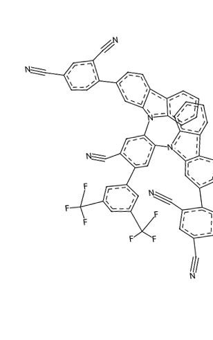 N#Cc1ccc(-c2ccc3c4ccccc4n(-c4cc(C#N)c(-c5cc(C(F)(F)F)cc(C(F)(F)F)c5)cc4-n4c5ccccc5c5ccc(-c6ccc(C#N)cc6C#N)cc54)c3c2)c(C#N)c1